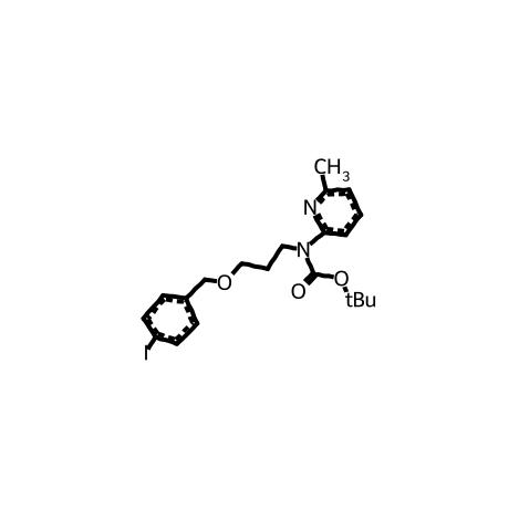 Cc1cccc(N(CCCOCc2ccc(I)cc2)C(=O)OC(C)(C)C)n1